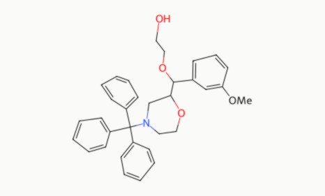 COc1cccc(C(OCCO)C2CN(C(c3ccccc3)(c3ccccc3)c3ccccc3)CCO2)c1